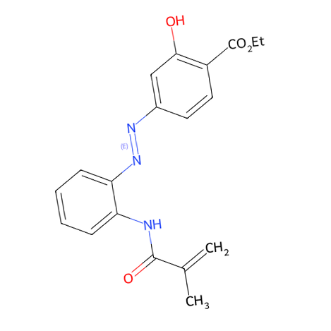 C=C(C)C(=O)Nc1ccccc1/N=N/c1ccc(C(=O)OCC)c(O)c1